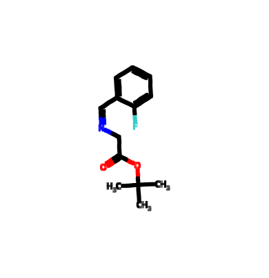 CC(C)(C)OC(=O)C/N=C\c1ccccc1F